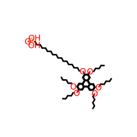 CCCCCOc1cc2c3cc(OCCCCC)c(OCCCCC)cc3c3cc(OCCCCCCCCCCCCCCCCCCP(=O)(O)O)c(OCCCCC)cc3c2cc1OCCCCC